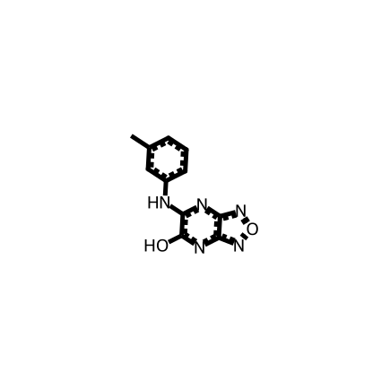 Cc1cccc(Nc2nc3nonc3nc2O)c1